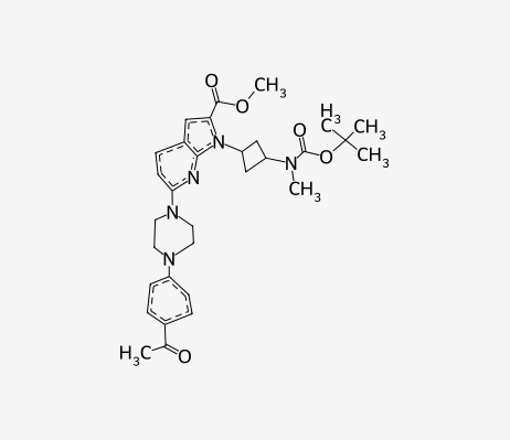 COC(=O)c1cc2ccc(N3CCN(c4ccc(C(C)=O)cc4)CC3)nc2n1C1CC(N(C)C(=O)OC(C)(C)C)C1